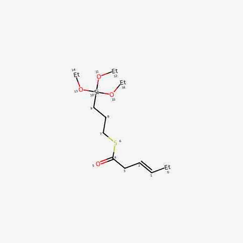 CCC=CCC(=O)SCCC[Si](OCC)(OCC)OCC